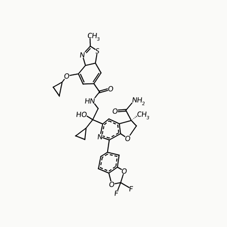 CC1=NC2C(OC3CC3)=CC(C(=O)NCC(O)(c3cc4c(c(-c5ccc6c(c5)OC(F)(F)O6)n3)OC[C@]4(C)C(N)=O)C3CC3)=CC2S1